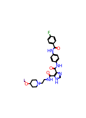 O=C(Nc1ccc(NC(=O)c2nc[nH]c2C(=O)NCCN2CCC(OI)CC2)cc1)c1ccc(F)cc1